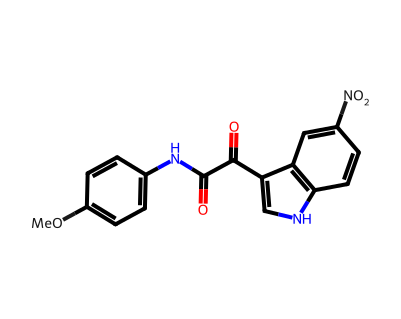 COc1ccc(NC(=O)C(=O)c2c[nH]c3ccc([N+](=O)[O-])cc23)cc1